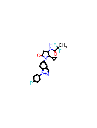 CC(F)(F)C(=O)NC1CC(=O)N(c2ccc3c(cnn3-c3ccc(F)cc3)c2)C1C1CC1